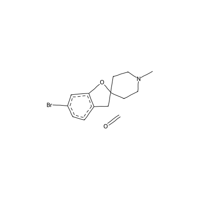 C=O.CN1CCC2(CC1)Cc1ccc(Br)cc1O2